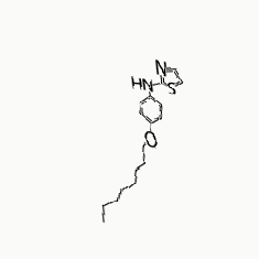 CCCCCCCCOc1ccc(Nc2nccs2)cc1